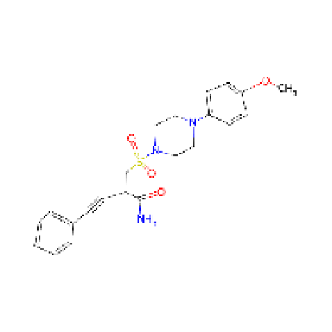 COc1ccc(N2CCN(S(=O)(=O)CC(C#Cc3ccccc3)C(N)=O)CC2)cc1